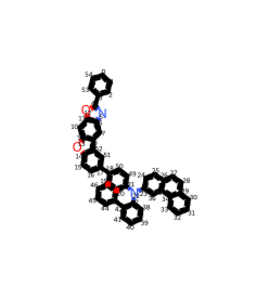 c1ccc(-c2nc3cc4c(cc3o2)oc2ccc(-c3ccc(N(c5ccc6ccc7ccccc7c6c5)c5ccccc5-c5ccccc5)cc3)cc24)cc1